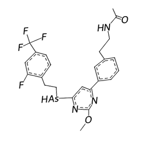 COc1nc([AsH]CCc2ccc(C(F)(F)F)cc2F)cc(-c2cccc(CCNC(C)=O)c2)n1